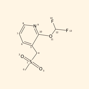 CS(=O)(=O)Cc1cccnc1OC(F)F